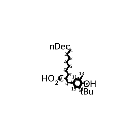 CCCCCCCCCCCCCCCCCC(Cc1cc(C)c(O)c(C(C)(C)C)c1)C(=O)O